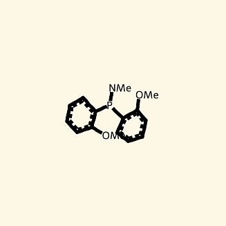 CNP(c1ccccc1OC)c1ccccc1OC